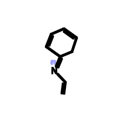 C=C/N=C1/C=CC=CC1